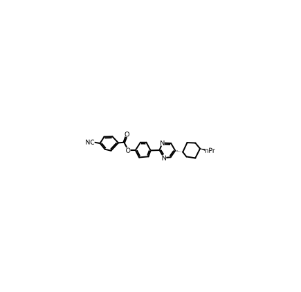 CCC[C@H]1CC[C@H](c2cnc(-c3ccc(OC(=O)c4ccc(C#N)cc4)cc3)nc2)CC1